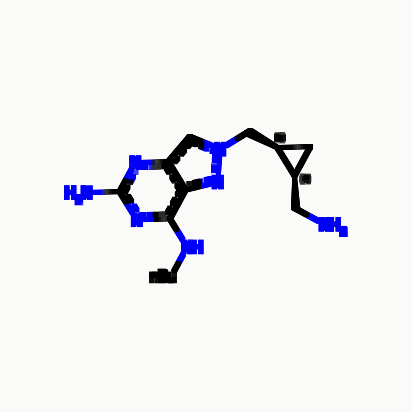 CCCCNc1nc(N)nc2cn(C[C@H]3C[C@H]3CN)nc12